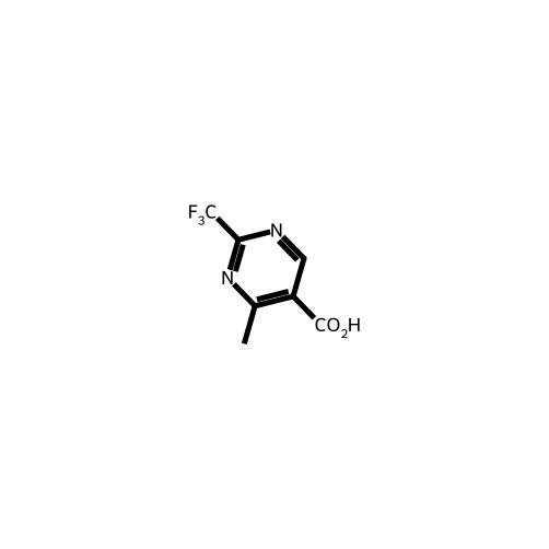 Cc1nc(C(F)(F)F)ncc1C(=O)O